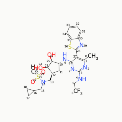 Cc1nc(NCC(F)(F)F)nc(N[C@@H]2C[C@@H](CN(CC3CC3)S(C)(=O)=O)[C@@H](O)[C@H]2O)c1-c1nc2ccccc2s1